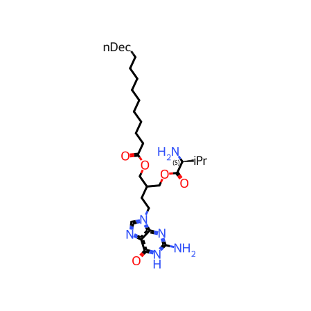 CCCCCCCCCCCCCCCCCCCC(=O)OCC(CCn1cnc2c(=O)[nH]c(N)nc21)COC(=O)[C@@H](N)C(C)C